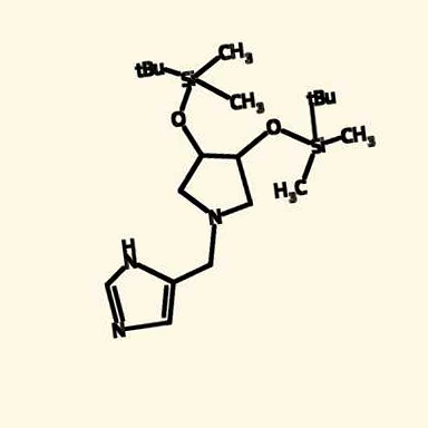 CC(C)(C)[Si](C)(C)OC1CN(Cc2cnc[nH]2)CC1O[Si](C)(C)C(C)(C)C